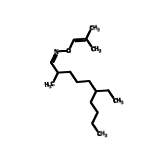 CCCCC(CC)CCCC(C)/C=N\OC=C(C)C